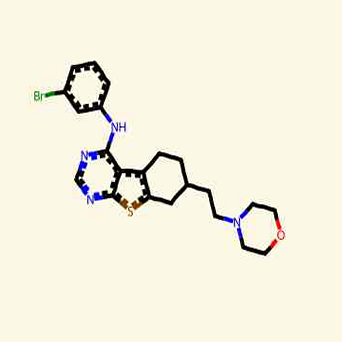 Brc1cccc(Nc2ncnc3sc4c(c23)CCC(CCN2CCOCC2)C4)c1